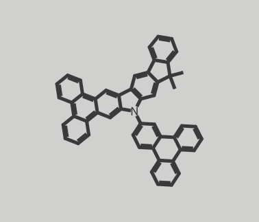 CC1(C)c2ccccc2-c2cc3c4cc5c6ccccc6c6ccccc6c5cc4n(-c4ccc5c6ccccc6c6ccccc6c5c4)c3cc21